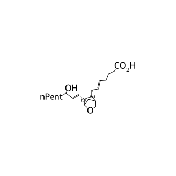 CCCCCC(O)C=C[C@H]1C2CC(CO2)[C@@H]1CC=CCCCC(=O)O